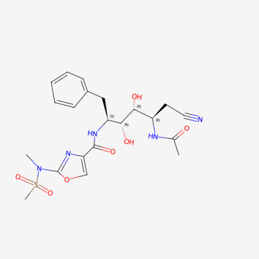 CC(=O)N[C@H](CC#N)[C@@H](O)[C@H](O)[C@H](Cc1ccccc1)NC(=O)c1coc(N(C)S(C)(=O)=O)n1